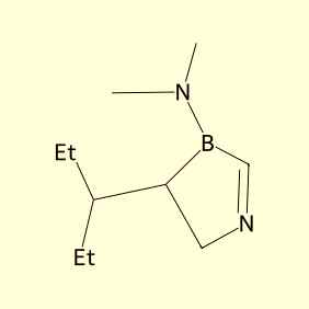 CCC(CC)C1CN=CB1N(C)C